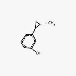 C[C@H]1CC1c1cccc(O)c1